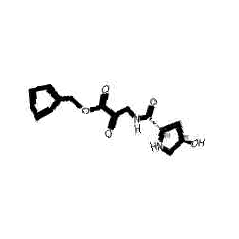 O=C(CNC(=O)[C@@H]1C[C@@H](O)CN1)C(=O)OCc1ccccc1